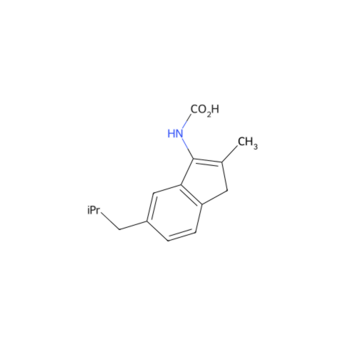 CC1=C(NC(=O)O)c2cc(CC(C)C)ccc2C1